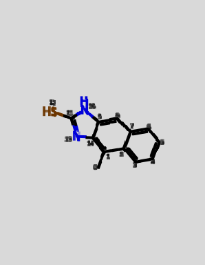 Cc1c2ccccc2cc2[nH]c(S)nc12